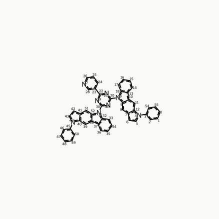 c1ccc(-n2ccc3cc4c(cc32)c2ccccc2n4-c2nc(-c3cccnc3)nc(-n3c4ccccc4c4cc5c(ccn5-c5ccccc5)cc43)n2)cc1